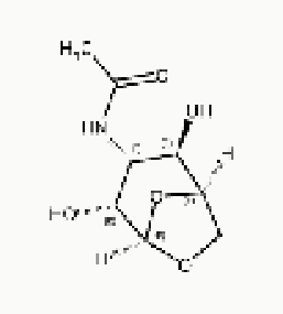 CC(=O)N[C@@H]1[C@@H](O)[C@H]2CO[C@H](O2)[C@@H]1O